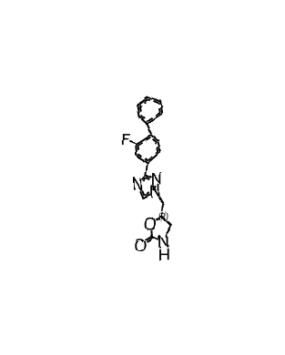 O=C1NC[C@H](Cn2cnc(-c3ccc(-c4ccccc4)c(F)c3)n2)O1